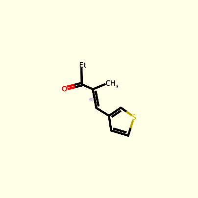 CCC(=O)/C(C)=C/c1ccsc1